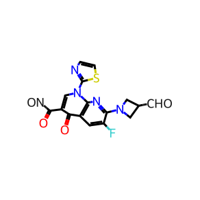 O=CC1CN(c2nc3c(cc2F)c(=O)c(C(=O)N=O)cn3-c2nccs2)C1